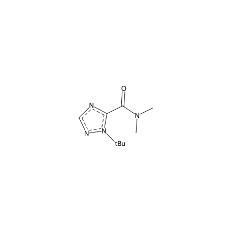 CN(C)C(=O)c1ncnn1C(C)(C)C